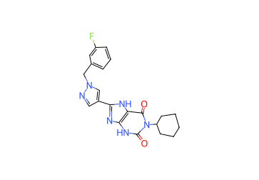 O=c1[nH]c2nc(-c3cnn(Cc4cccc(F)c4)c3)[nH]c2c(=O)n1C1CCCCC1